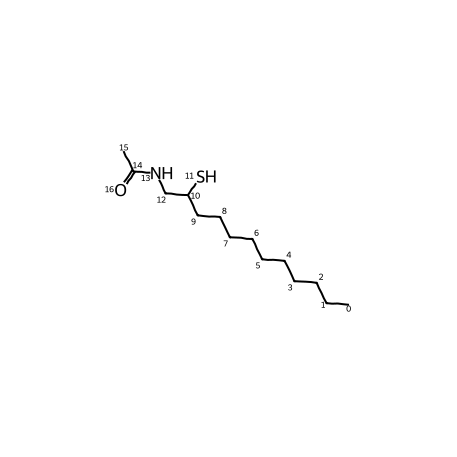 CCCCCCCCCCC(S)CNC(C)=O